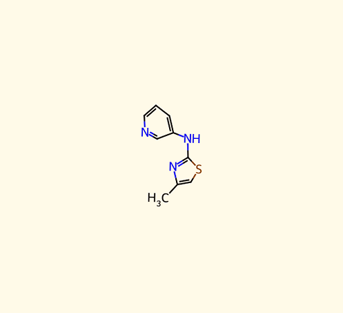 Cc1csc(Nc2cccnc2)n1